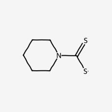 [S]C(=S)N1CCCCC1